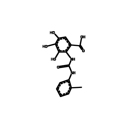 Cc1ccccc1NC(=O)Nc1c(C(=O)O)cc(O)c(O)c1O